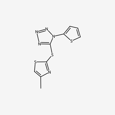 Cc1csc(Sc2nnnn2-c2cccs2)n1